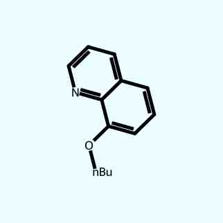 CCCCOc1cccc2cccnc12